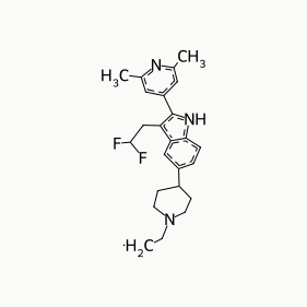 [CH2]CN1CCC(c2ccc3[nH]c(-c4cc(C)nc(C)c4)c(CC(F)F)c3c2)CC1